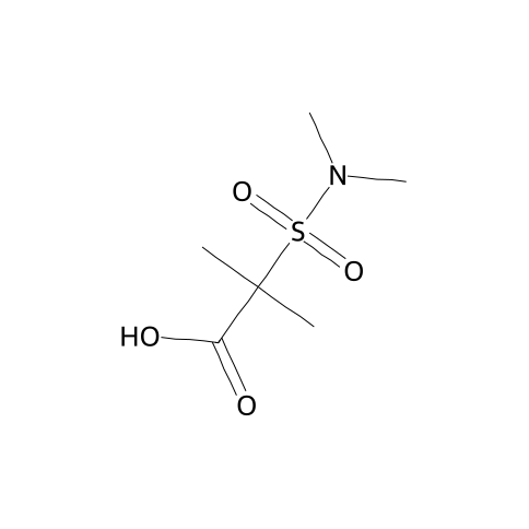 CN(C)S(=O)(=O)C(C)(C)C(=O)O